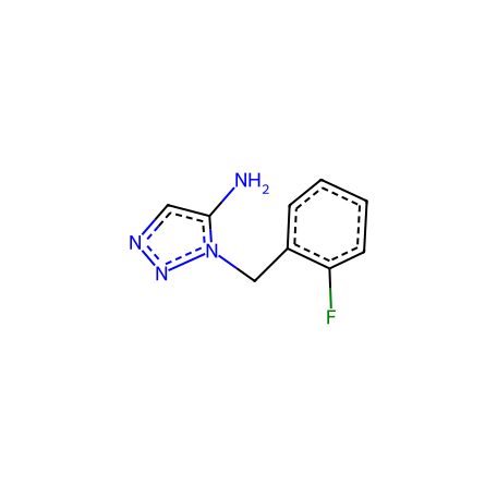 Nc1cnnn1Cc1ccccc1F